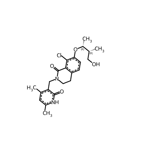 Cc1cc(C)c(CN2CCc3ccc(O[C@H](C)[C@H](C)CO)c(Cl)c3C2=O)c(=O)[nH]1